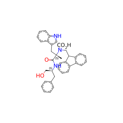 C[C@](Cc1c[nH]c2ccccc12)(C(=O)N[C@H](CO)Cc1ccccc1)N(CC1c2ccccc2-c2ccccc21)C(=O)O